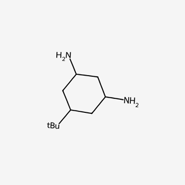 CC(C)(C)C1CC(N)CC(N)C1